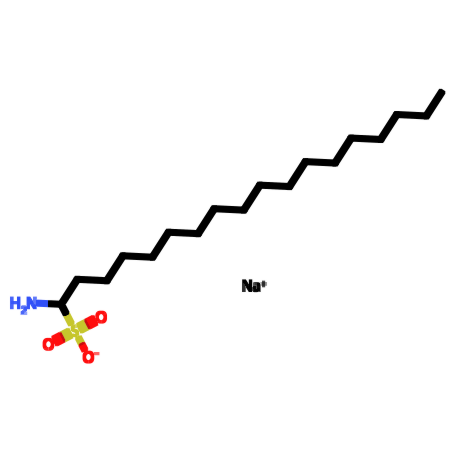 CCCCCCCCCCCCCCCCCC(N)S(=O)(=O)[O-].[Na+]